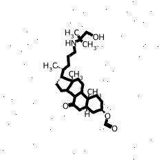 C[C@H](CCCNC(C)(C)CO)[C@H]1CCC2C3C(=O)C[C@@H]4C[C@H](OC=O)CC[C@]4(C)C3CC[C@@]21C